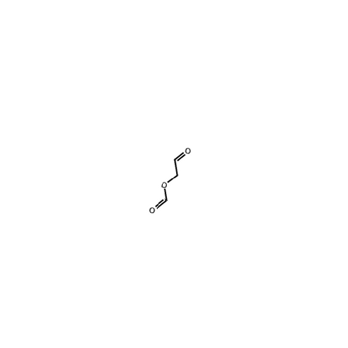 O=CCOC=O